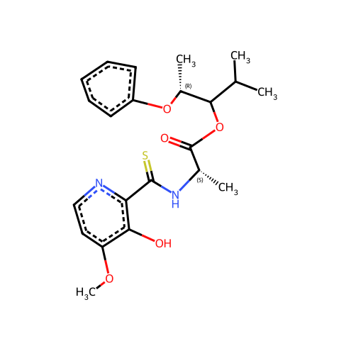 COc1ccnc(C(=S)N[C@@H](C)C(=O)OC(C(C)C)[C@@H](C)Oc2ccccc2)c1O